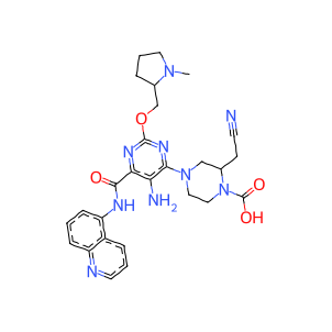 CN1CCCC1COc1nc(C(=O)Nc2cccc3ncccc23)c(N)c(N2CCN(C(=O)O)C(CC#N)C2)n1